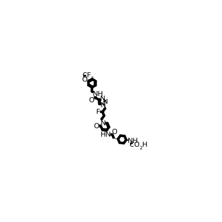 O=C(C[C@H]1CC[C@H](NC(=O)O)CC1)Nc1ccn(CCC(F)Cn2cc(C(=O)NCc3cccc(OC(F)(F)F)c3)nn2)c(=O)c1